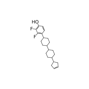 Oc1ccc(C2CCC(C3CCC(C4CC=CC4)CC3)CC2)c(F)c1F